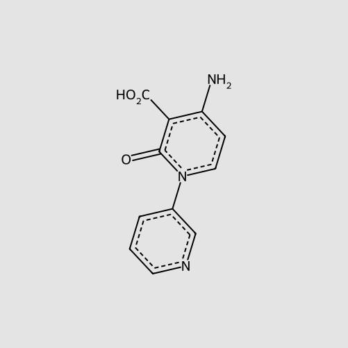 Nc1ccn(-c2cccnc2)c(=O)c1C(=O)O